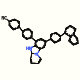 N#Cc1ccc(-c2ccc(-c3cc(-c4ccc(-c5cccc6ccccc56)cc4)cc4c3NC3C=CC=CN43)cc2)cc1